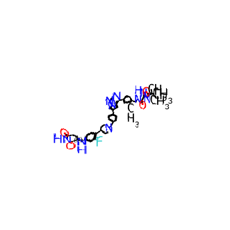 Cc1cc(-c2ncnn3cc(-c4ccc(CN5CCC(c6ccc(N[C@H]7CCC(=O)NC7=O)cc6F)CC5)cc4)cc23)ccc1CNC(=O)c1noc(C(C)(C)C)n1